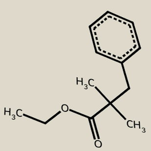 CCOC(=O)C(C)(C)Cc1ccccc1